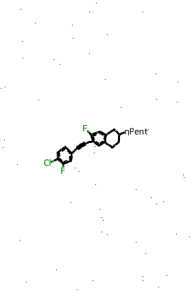 CCCCCC1CCc2cc(C#Cc3ccc(Cl)c(F)c3)c(F)cc2C1